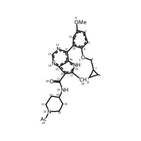 COc1ccc(OCC2CC2)c(-c2ncnc3c(C(=O)NC4CCN(C(C)=O)CC4)c(C)[nH]c23)c1